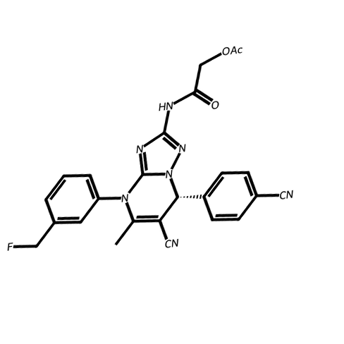 CC(=O)OCC(=O)Nc1nc2n(n1)[C@H](c1ccc(C#N)cc1)C(C#N)=C(C)N2c1cccc(CF)c1